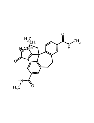 CNC(=O)c1ccc2c(c1)CCc1cc(C(=O)NC)ccc1C2(C[C@@H](C)N)c1nc(=O)on1C